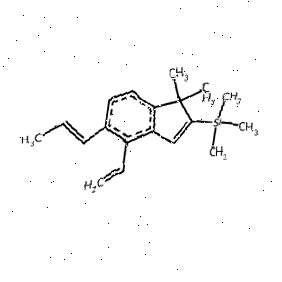 C=Cc1c(/C=C/C)ccc2c1C=C([Si](C)(C)C)C2(C)C